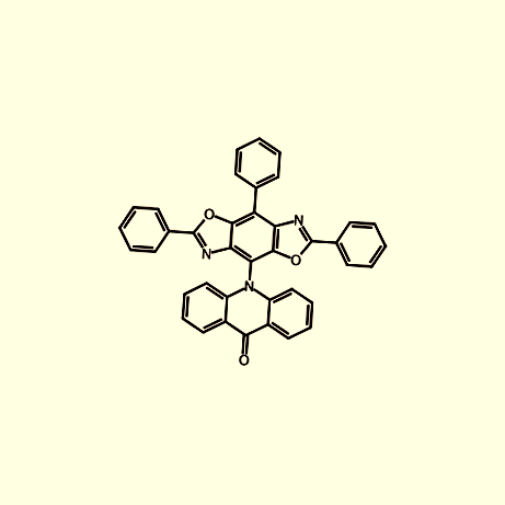 O=c1c2ccccc2n(-c2c3nc(-c4ccccc4)oc3c(-c3ccccc3)c3nc(-c4ccccc4)oc23)c2ccccc12